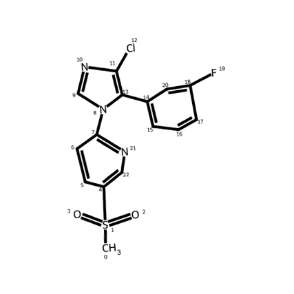 CS(=O)(=O)c1ccc(-n2cnc(Cl)c2-c2cccc(F)c2)nc1